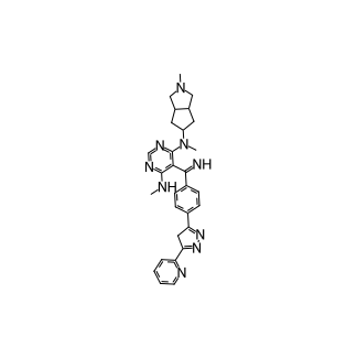 CNc1ncnc(N(C)C2CC3CN(C)CC3C2)c1C(=N)c1ccc(C2=NN=C(c3ccccn3)C2)cc1